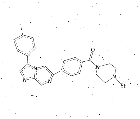 CCN1CCN(C(=O)c2ccc(-c3cn4c(-c5ccc(C)cc5)cnc4cn3)cc2)CC1